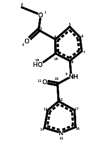 COC(=O)c1cccc(NC(=O)c2ccncc2)c1O